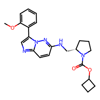 COc1ccccc1-c1cnc2ccc(NC[C@@H]3CCCN3C(=O)OC3CCC3)nn12